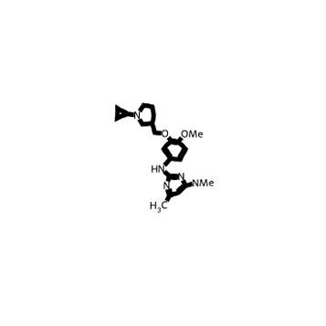 CNc1cc(C)nc(Nc2ccc(OC)c(OCC3CCCN(C4CC4)C3)c2)n1